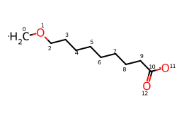 [CH2]OCCCCCCCCC([O])=O